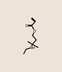 C=CC(=O)OCCC(C)(C)NCC